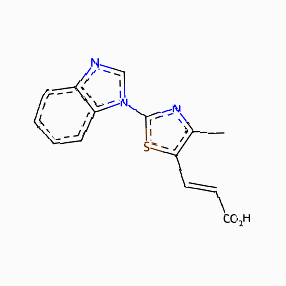 Cc1nc(-n2cnc3ccccc32)sc1/C=C/C(=O)O